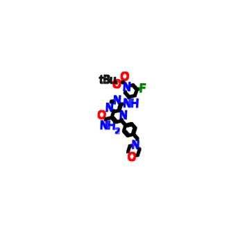 CC(C)(C)OC(=O)N1CC(F)CC(Nc2ncnc3c(C(N)=O)cc(-c4ccc(CN5CCOCC5)cc4)nc23)C1